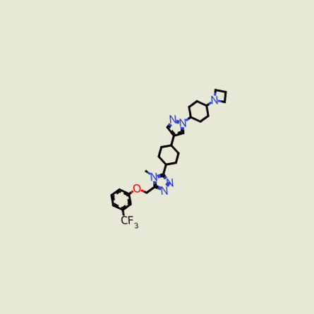 Cn1c(COc2cccc(C(F)(F)F)c2)nnc1C1CCC(c2cnn(C3CCC(N4CCC4)CC3)c2)CC1